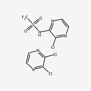 Clc1nccnc1Cl.O=S(=O)(Nc1nccnc1Cl)C(F)(F)F